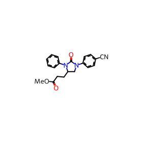 COC(=O)CCC1CN(c2ccc(C#N)cc2)C(=O)N1c1ccccc1